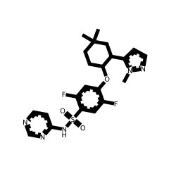 Cn1nccc1C1CC(C)(C)CCC1Oc1cc(F)c(S(=O)(=O)Nc2ccncn2)cc1F